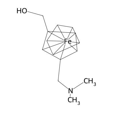 CN(C)C[C]12[CH]3[CH]4[C]5(CO)[CH]1[Fe]43521678[CH]2[CH]1[CH]6[CH]7[CH]28